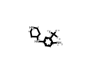 Nc1ccc(NC2CCNCC2)cc1C(F)(F)F